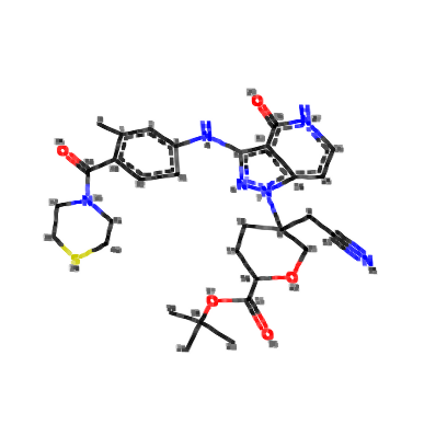 Cc1cc(Nc2nn(C3(CC#N)CCC(C(=O)OC(C)(C)C)OC3)c3cc[nH]c(=O)c23)ccc1C(=O)N1CCSCC1